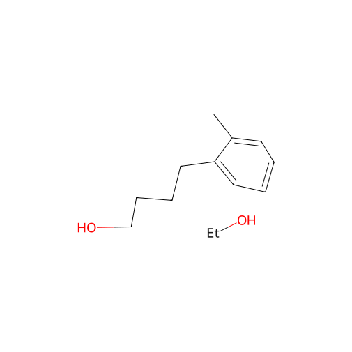 CCO.Cc1ccccc1CCCCO